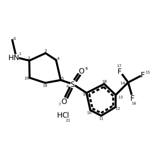 CNC1CCC(S(=O)(=O)c2cccc(C(F)(F)F)c2)CC1.Cl